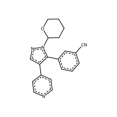 N#Cc1cccc(-c2c(-c3ccncc3)cnn2C2CCCCO2)c1